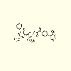 Cc1nc(N2C[C@@H](CC(=O)Nc3ccc(-c4cnccc4C)cc3)C[C@H]2C(=O)O)c2oc3ccccc3c2n1